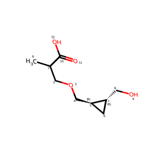 CC(COC[C@@H]1C[C@H]1CO)C(=O)O